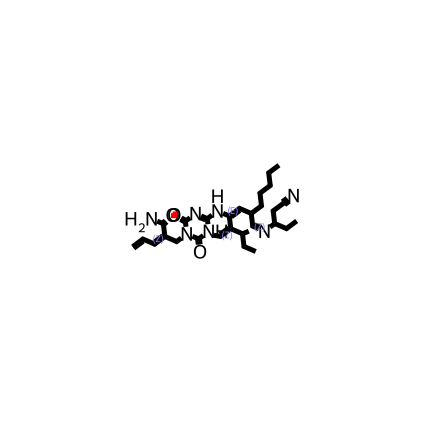 C=C/C=C(/Cn1c(=O)nc(NC(=C/C(/C=N\C(CC)CC#N)CCCCC)/C(=C\C)C(C)CC)[nH]c1=O)C(N)=O